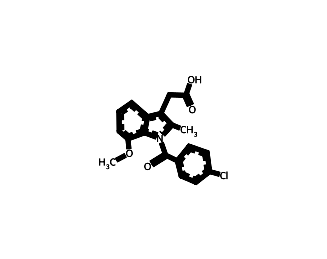 COc1cccc2c(CC(=O)O)c(C)n(C(=O)c3ccc(Cl)cc3)c12